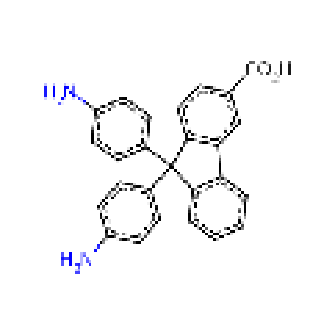 Nc1ccc(C2(c3ccc(N)cc3)c3ccccc3-c3cc(C(=O)O)ccc32)cc1